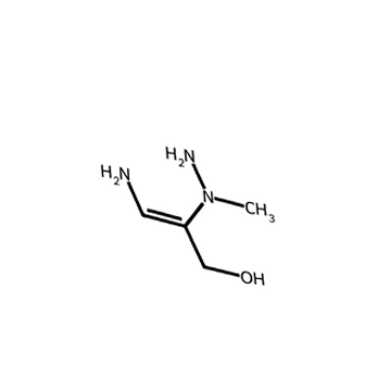 CN(N)/C(=C\N)CO